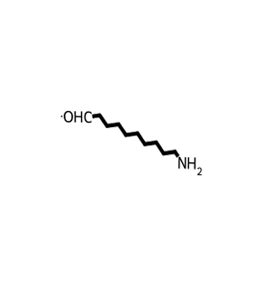 NCCCCCCCCC[C]=O